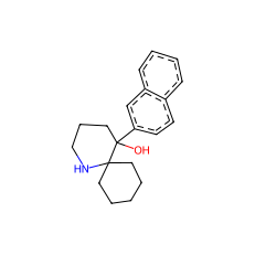 OC1(c2ccc3ccccc3c2)CCCNC12CCCCC2